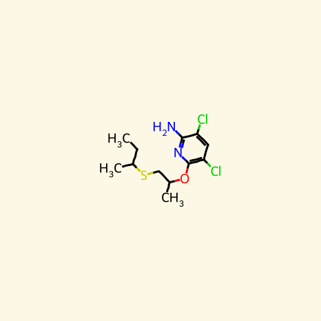 CCC(C)SCC(C)Oc1nc(N)c(Cl)cc1Cl